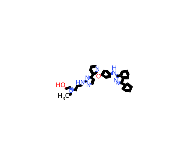 CCN(CCO)CCCNc1nccc(-c2cccnc2Oc2ccc(Nc3nnc(-c4ccccc4)c4ccccc34)cc2)n1